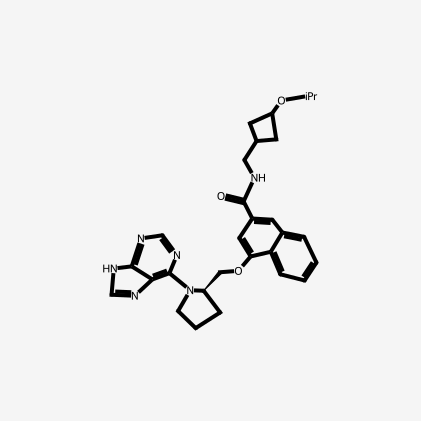 CC(C)OC1CC(CNC(=O)c2cc(OC[C@H]3CCCN3c3ncnc4[nH]cnc34)c3ccccc3c2)C1